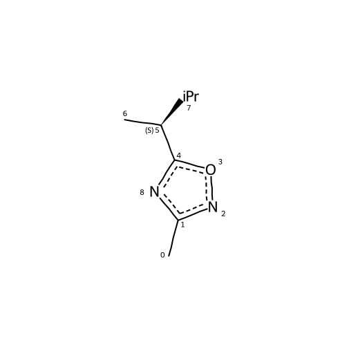 Cc1noc([C@@H](C)C(C)C)n1